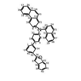 c1cc(-c2ccc(N(c3ccc4c(ccc5ccccc54)c3)c3cccc4ccccc34)cc2)cc(-c2cc3ccccc3o2)c1